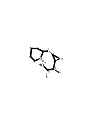 C[C@H]([C@@H]1O[C@H]1CC1CCCCO1)[C@H](C)O